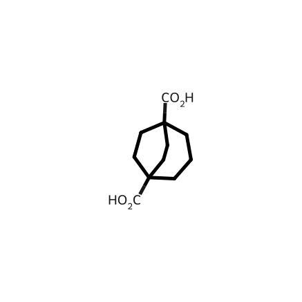 O=C(O)C12CCCC(C(=O)O)(CC1)CC2